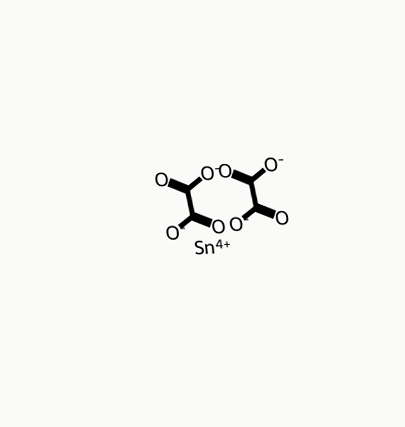 O=C([O-])C(=O)[O-].O=C([O-])C(=O)[O-].[Sn+4]